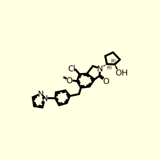 COc1c(Cc2ccc(-n3cccn3)cc2)cc2c(c1Cl)CN([C@@H]1CCC[C@H]1O)C2=O